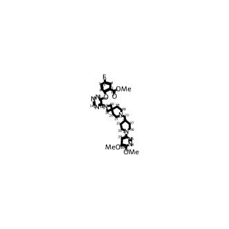 COC(=O)c1cc(F)ccc1Oc1nncnc1N1CC2(CCN(CC3CCN(c4cc(OC)c(OC)nn4)CC3)CC2)C1